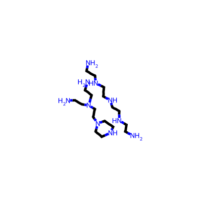 NCCN(CCN)CCN1CCNCC1.NCCNCCNCCNCCN